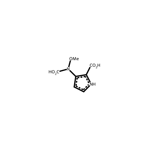 CON(C(=O)O)c1cc[nH]c1C(=O)O